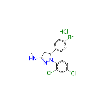 CNC1=NN(c2ccc(Cl)cc2Cl)C(c2ccc(Br)cc2)C1.Cl